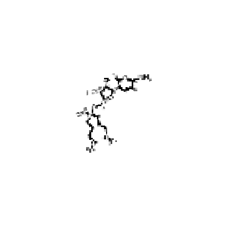 CCOCCC[Si](CCCOCC)(OC[C@H]1O[C@@H](n2ccc(N)nc2=O)[C@@H](C#N)[C@@H]1O)C(C)(C)C